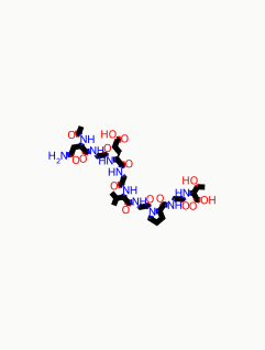 CC(=O)NC(CC(N)=O)C(=O)NCC(=O)N[C@@H](CCC(=O)O)C(=O)NCC(=O)NC(C(=O)NCC(=O)N1CCCC1C(=O)NCC(=O)NC(C(=O)O)C(C)O)C(C)C